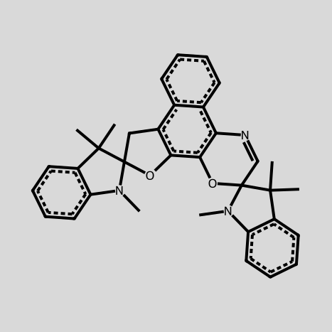 CN1c2ccccc2C(C)(C)C12C=Nc1c(c3c(c4ccccc14)CC1(O3)N(C)c3ccccc3C1(C)C)O2